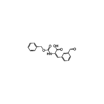 O=Cc1cccc(/C=C(/NC(=O)OCc2ccccc2)C(=O)O)c1